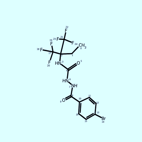 CCC(NC(=O)NNC(=O)c1ccc(Br)cc1)(C(F)(F)F)C(F)(F)F